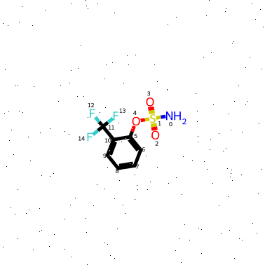 NS(=O)(=O)Oc1ccccc1C(F)(F)F